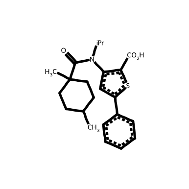 CC1CCC(C)(C(=O)N(c2cc(-c3ccccc3)sc2C(=O)O)C(C)C)CC1